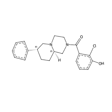 O=C(c1cccc(O)c1Cl)N1CCN2C[C@@H](c3ccccc3)CC[C@@H]2C1